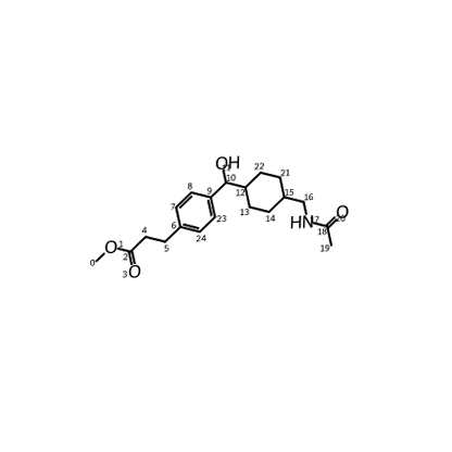 COC(=O)CCc1ccc(C(O)C2CCC(CNC(C)=O)CC2)cc1